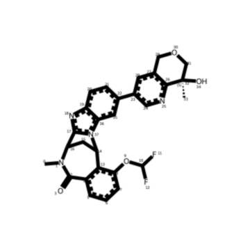 CN1C(=O)c2cccc(OC(F)F)c2C2CC1c1nc3ccc(-c4cnc5c(c4)COC[C@@]5(C)O)cc3n12